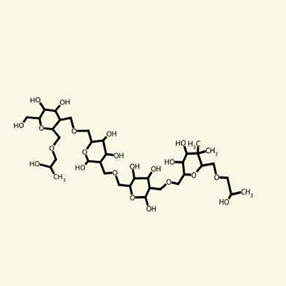 CC(O)COCC1OC(CO)C(O)C(O)C1COCC1OC(O)C(COCC2OC(O)C(COCC3OC(COCC(C)O)C(C)(C)C(O)C3O)C(O)C2O)C(O)C1O